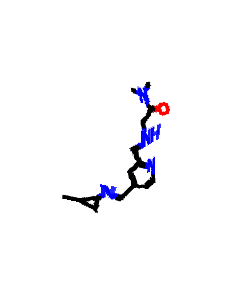 CC1CC1/N=C/c1ccnc(CNCC(=O)N(C)C)c1